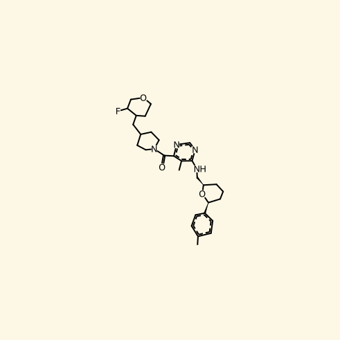 Cc1ccc([C@@H]2CCC[C@H](CNc3ncnc(C(=O)N4CCC(CC5CCOCC5F)CC4)c3C)O2)cc1